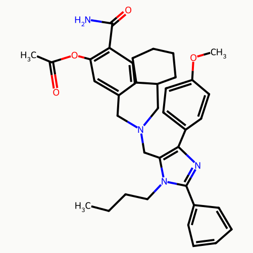 CCCCn1c(-c2ccccc2)nc(-c2ccc(OC)cc2)c1CN(Cc1ccc(C(N)=O)c(OC(C)=O)c1)CC1CCCCC1